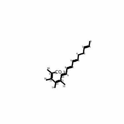 CC=CCCC=CC=CC=CC(C)=C(C)C(C)=C(C)C(=O)O